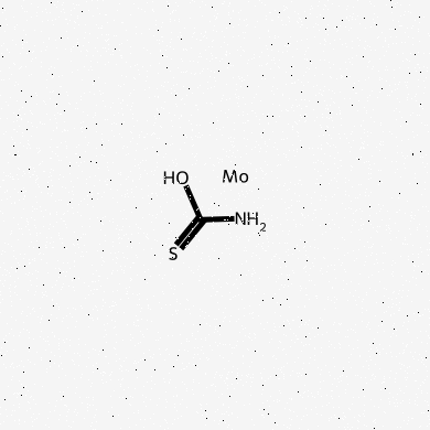 NC(O)=S.[Mo]